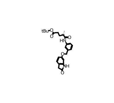 C[C@@H](CCC(=O)OC(C)(C)C)C(=O)Nc1cccc(COc2ccc3c(c2)NC(=O)C3)c1